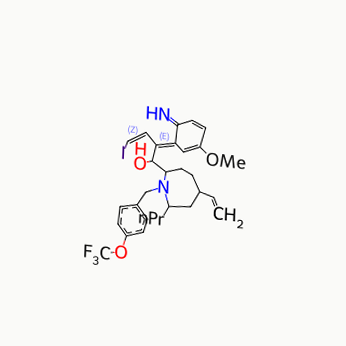 C=CC1CCC(C(O)C(/C=C\I)=C2\C=C(OC)C=CC2=N)N(Cc2ccc(OC(F)(F)F)cc2)C(CCC)C1